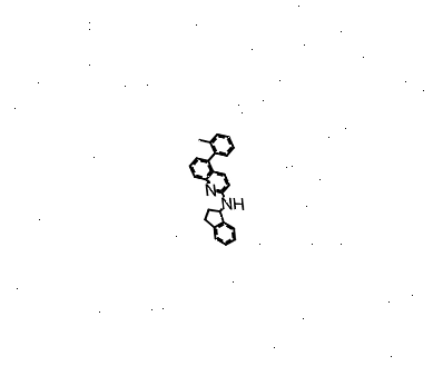 Cc1ccccc1-c1cccc2nc(NC3CCc4ccccc43)ccc12